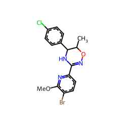 COc1nc(C2=NOC(C)C(c3ccc(Cl)cc3)N2)ccc1Br